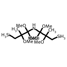 COC(C)(C[SiH3])C(NC(OC)(OC)C(C)(C[SiH3])OC)(OC)OC